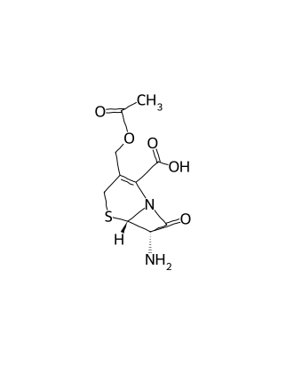 CC(=O)OCC1=C(C(=O)O)N2C(=O)[C@H](N)[C@@H]2SC1